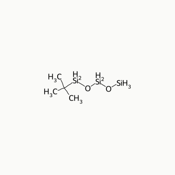 CC(C)(C)[SiH2]O[SiH2]O[SiH3]